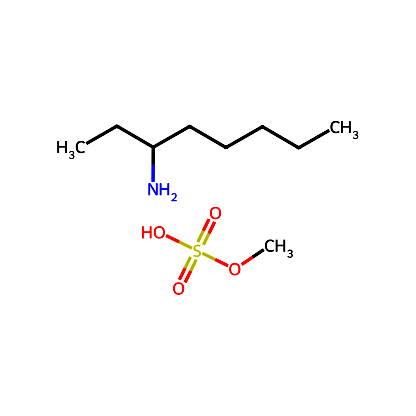 CCCCCC(N)CC.COS(=O)(=O)O